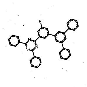 Brc1cc(-c2cc(-c3ccccc3)cc(-c3ccccc3)c2)cc(-c2nc(-c3ccccc3)nc(-c3ccccc3)n2)c1